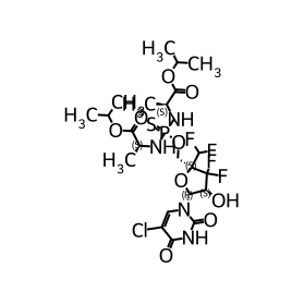 CC(C)OC(=O)[C@H](C)NP(=S)(N[C@@H](C)C(=O)OC(C)C)OC[C@@]1(C(F)F)O[C@@H](n2cc(Cl)c(=O)[nH]c2=O)[C@H](O)C1(F)F